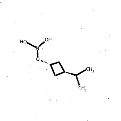 CC(C)[C@H]1C[C@H](ON(O)O)C1